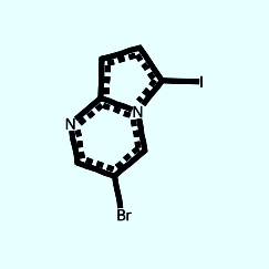 Brc1cnc2ccc(I)n2c1